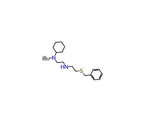 CCC(C)N(CCNCCSCc1ccccc1)C1CCCCC1